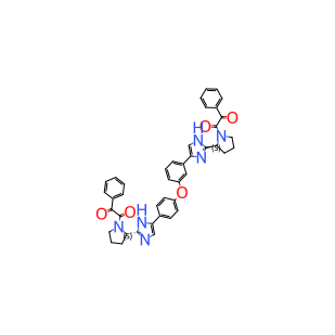 O=C(C(=O)N1CCC[C@H]1c1nc(-c2cccc(Oc3ccc(-c4cnc([C@@H]5CCCN5C(=O)C(=O)c5ccccc5)[nH]4)cc3)c2)c[nH]1)c1ccccc1